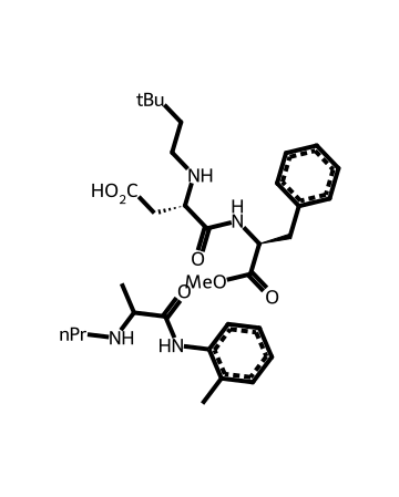 CCCNC(C)C(=O)Nc1ccccc1C.COC(=O)[C@H](Cc1ccccc1)NC(=O)[C@H](CC(=O)O)NCCC(C)(C)C